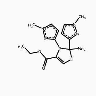 CCOC(=O)C1=COC(N)(c2ccn(C)n2)N1c1ccn(C)n1